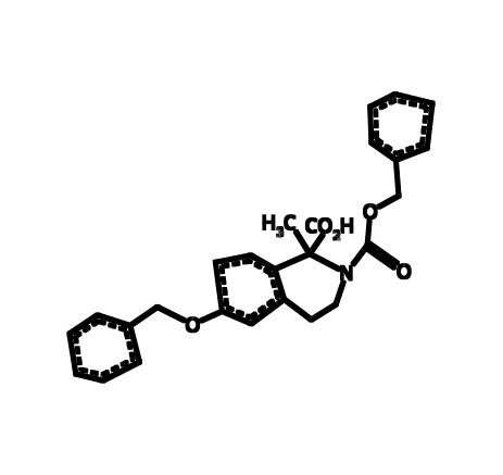 CC1(C(=O)O)c2ccc(OCc3ccccc3)cc2CCN1C(=O)OCc1ccccc1